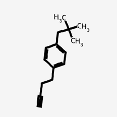 [C]#CCCc1ccc(CC(C)(C)C)cc1